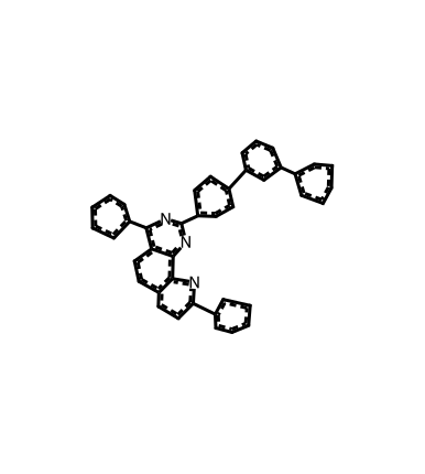 c1ccc(-c2cccc(-c3ccc(-c4nc(-c5ccccc5)c5ccc6ccc(-c7ccccc7)nc6c5n4)cc3)c2)cc1